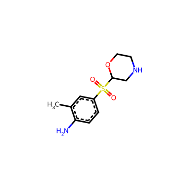 Cc1cc(S(=O)(=O)C2CNCCO2)ccc1N